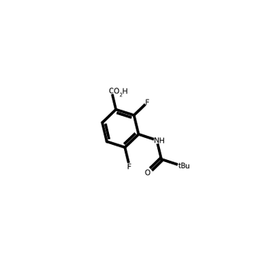 CC(C)(C)C(=O)Nc1c(F)ccc(C(=O)O)c1F